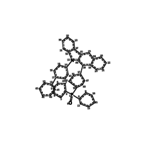 O=P(c1ccccc1)(c1ccccc1)c1ccc(-c2c3ccccc3cc3c4ccccc4n(-c4ccc(-c5ccccc5)cc4)c23)cc1